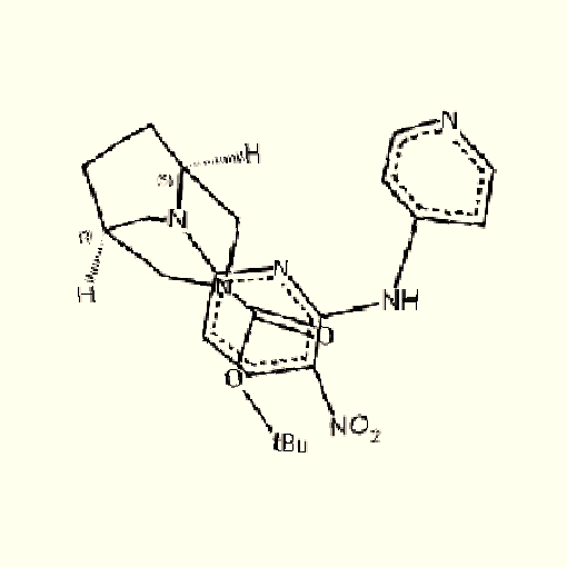 CC(C)(C)OC(=O)N1C[C@H]2CC[C@@H](C1)N2c1ccc([N+](=O)[O-])c(Nc2ccncc2)n1